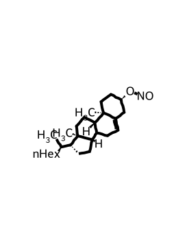 CCCCCC[C@@H](C)[C@H]1CC[C@H]2C3CC=C4C[C@@H](ON=O)CC[C@]4(C)[C@H]3CC[C@]12C